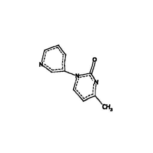 Cc1ccn(-c2cccnc2)c(=O)n1